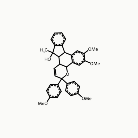 COc1ccc(C2(c3ccc(OC)cc3)C=CC3C(O2)c2cc(OC)c(OC)cc2C2c4ccccc4C(C)(O)C23)cc1